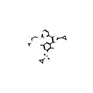 C[C@@H](CNc1nccc(-c2[nH]c(C3CC3)nc2-c2cc(F)cc(NS(=O)(=O)C3CC3)c2Cl)n1)NC(=O)O